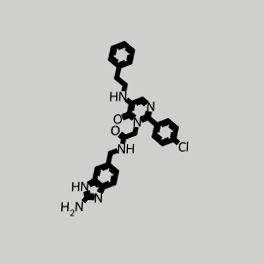 Nc1nc2ccc(CNC(=O)Cn3c(-c4ccc(Cl)cc4)ncc(NCCc4ccccc4)c3=O)cc2[nH]1